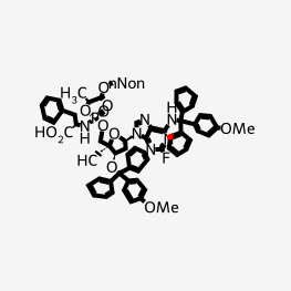 C#C[C@]1(COP(=O)(N[C@@H](Cc2ccccc2)C(=O)O)O[C@@H](C)C(=O)OCCCCCCCCC)O[C@@H](n2cnc3c(NC(c4ccccc4)(c4ccccc4)c4ccc(OC)cc4)nc(F)nc32)C[C@@H]1OC(c1ccccc1)(c1ccccc1)c1ccc(OC)cc1